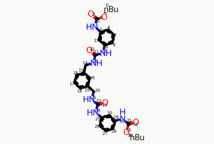 CCCCOC(=O)Nc1cccc(NC(=O)NCc2cccc(CNC(=O)Nc3cccc(NC(=O)OCCCC)c3)c2)c1